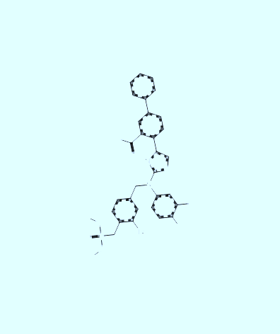 O=C(O)c1cc(-c2ccccc2)ccc1-c1csc(N(Cc2ccc(CP(=O)(OF)OF)c(Br)c2)c2ccc(Cl)c(Cl)c2)n1